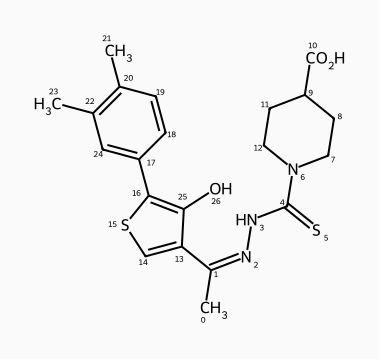 CC(=NNC(=S)N1CCC(C(=O)O)CC1)c1csc(-c2ccc(C)c(C)c2)c1O